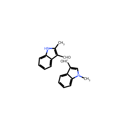 Cc1[nH]c2ccccc2c1C=O.Cn1cc(C=O)c2ccccc21